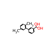 Cc1ccc(C)c(-c2cccc(C(O)O)c2)c1